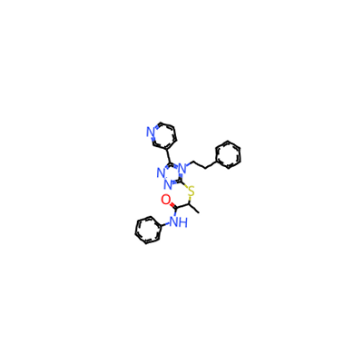 CC(Sc1nnc(-c2cccnc2)n1CCc1ccccc1)C(=O)Nc1ccccc1